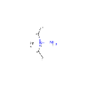 CCN(N)CC.[Pt]